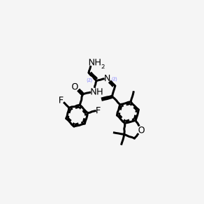 C=C(/C=N\C(=C/N)NC(=O)c1c(F)cccc1F)c1cc2c(cc1C)OCC2(C)C